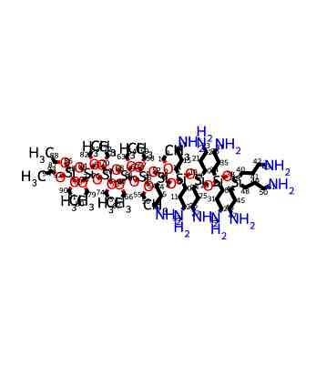 CCO[Si](CCCN)(O[Si](CCCN)(CCCN)O[Si](CCCN)(CCCN)O[Si](CCCN)(CCCN)O[Si](CCCN)(CCCN)CCCN)O[Si](OCC)(OCC)O[Si](OCC)(OCC)O[Si](OCC)(OCC)O[Si](OCC)(OCC)O[Si](OCC)(OCC)OCC